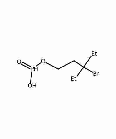 CCC(Br)(CC)CCO[PH](=O)O